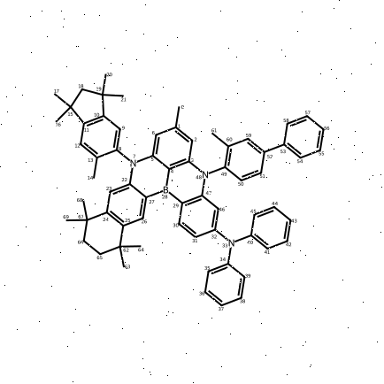 Cc1cc2c3c(c1)N(c1cc4c(cc1C)C(C)(C)CC4(C)C)c1cc4c(cc1B3c1ccc(N(c3ccccc3)c3ccccc3)cc1N2c1ccc(-c2ccccc2)cc1C)C(C)(C)CCC4(C)C